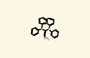 C=C=C(P(c1ccccc1)c1ccccc1)P(c1ccccc1)c1ccccc1